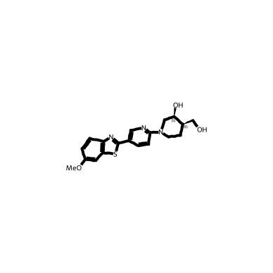 COc1ccc2nc(-c3ccc(N4CC[C@H](CO)[C@H](O)C4)nc3)sc2c1